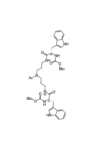 CC(=O)N(CCCNC(=O)[C@H](Cc1c[nH]c2ccccc12)NC(=O)OC(C)(C)C)CCCNC(=O)[C@H](Cc1c[nH]c2ccccc12)NC(=O)OC(C)(C)C